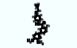 Nc1ccc(-c2ccc(F)c(C(=O)Nc3ccc(OCC4CC4)cc3)c2)nc1N